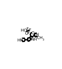 Cc1cc2c(cn1)OCCc1c-2[nH]c2ccc(C3CCNCC3)cc12.O=C(O)C(F)(F)F